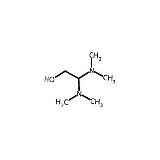 CN(C)C(CO)N(C)C